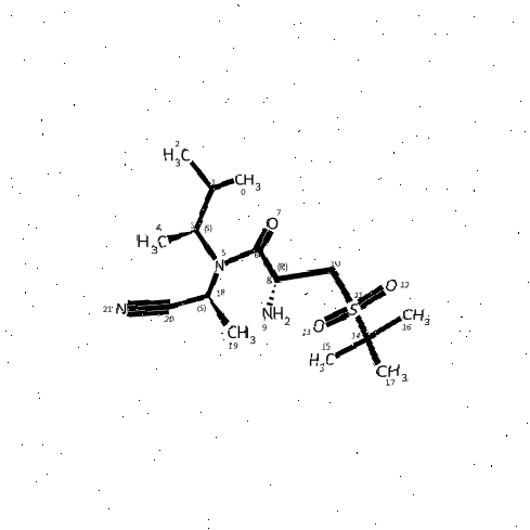 CC(C)[C@H](C)N(C(=O)[C@@H](N)CS(=O)(=O)C(C)(C)C)[C@@H](C)C#N